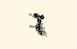 C=C(C)/N=C\N(N)c1ncc(OC)c2c(C(=O)C(=O)N3CCN(c4nc(S(C)(=O)=O)nn4-c4ccccc4)CC3)c[nH]c12